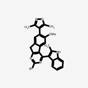 COc1cc2c(cc1-c1c(C)noc1C)Cc1nc(C(C)C)nc(-c3c(C)[nH]c4ccccc34)c1-2